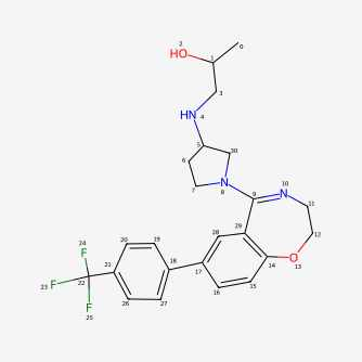 CC(O)CNC1CCN(C2=NCCOc3ccc(-c4ccc(C(F)(F)F)cc4)cc32)C1